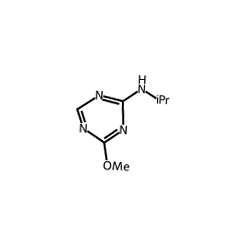 COc1ncnc(NC(C)C)n1